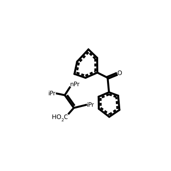 CCCC(=C(C(=O)O)C(C)C)C(C)C.O=C(c1ccccc1)c1ccccc1